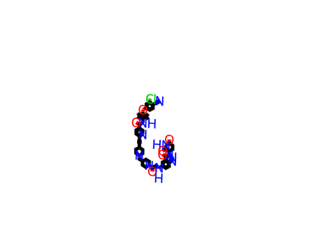 CC1(C)C(NC(=O)c2ccc(C#CC3CCN(CC4CCN(C(=O)CNc5ccc6nnn(C7CCC(=O)NC7=O)c(=O)c6c5)CC4)CC3)nc2)C(C)(C)C1Oc1ccc(C#N)c(Cl)c1